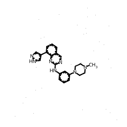 CN1CCN(c2cccc(Nc3ncc4cccc(-c5cn[nH]c5)c4n3)c2)CC1